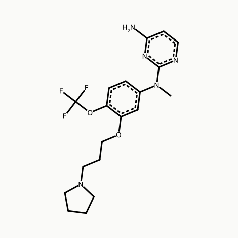 CN(c1ccc(OC(F)(F)F)c(OCCCN2CCCC2)c1)c1nccc(N)n1